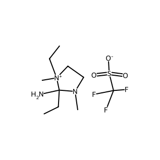 CCC1(N)N(C)CC[N+]1(C)CC.O=S(=O)([O-])C(F)(F)F